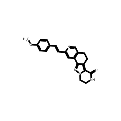 COc1ccc(C=Cc2cc3c(cn2)CCc2c-3nn3c2C(=O)NCC3)cc1